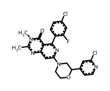 Cc1nc2cc(N3CCOC(c4ccnc(Cl)c4)C3)nc(-c3ccc(Cl)cc3F)c2c(=O)n1C